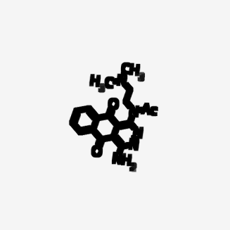 CC(=O)N(CCN(C)C)c1nnc(N)c2c1C(=O)c1ccccc1C2=O